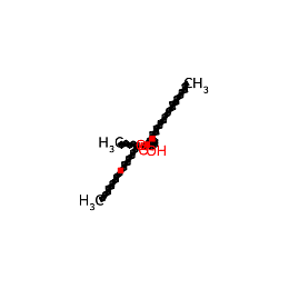 CCCCCCCCCCCCCCCCCCc1ccc(O)c(C(=O)OC(CCCCC)CCCCCCCCCCCCCCCCCC)c1